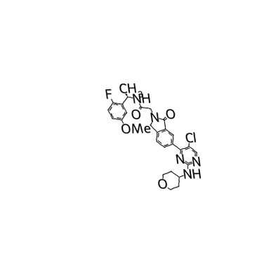 COc1ccc(F)c([C@@H](C)NC(=O)CN2Cc3ccc(-c4nc(NC5CCOCC5)ncc4Cl)cc3C2=O)c1